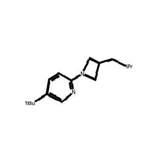 CC(C)CC1CN(c2ccc(C(C)(C)C)cn2)C1